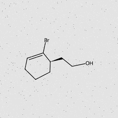 OCC[C@H]1CCCC=C1Br